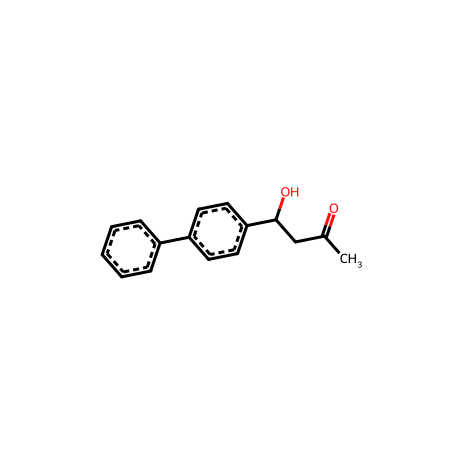 CC(=O)CC(O)c1ccc(-c2ccccc2)cc1